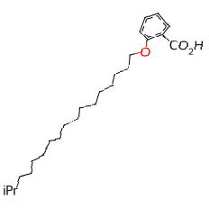 CC(C)CCCCCCCCCCCCCCCOc1ccccc1C(=O)O